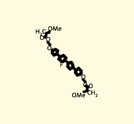 C=C(COC)C(=O)OCCOc1ccc(-c2ccc(-c3ccc(-c4ccc(OCCOC(=O)C(=C)COC)cc4)cc3F)cc2)cc1